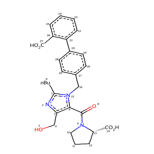 CCCCc1nc(CO)c(C(=O)N2CCC[C@H]2C(=O)O)n1Cc1ccc(-c2ccccc2C(=O)O)cc1